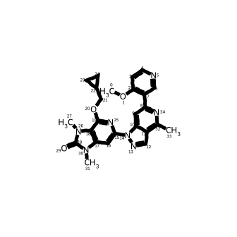 COc1ccncc1-c1cc2c(cnn2-c2cc3c(c(OCC4CC4)n2)n(C)c(=O)n3C)c(C)n1